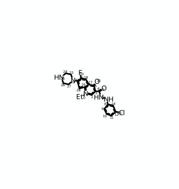 CCn1cc(C(=O)NNc2cccc(Cl)c2)c(=O)c2cc(F)c(N3CCNCC3)cc21